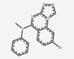 CN(c1ccccc1)c1nc2nncn2c2cc(Br)ccc12